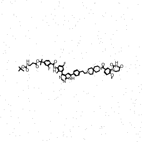 COc1ccc(C(=O)N2CCC3(CCN(CCc4ccc(-c5cc6c(-c7cc(F)cc(NC(=O)c8ccc(C(C)(C)OC(=O)CCNC(=O)OC(C)(C)C)cc8F)c7C)ncnc6[nH]5)cc4)CC3)CC2)cc1N1CCC(=O)NC1=O